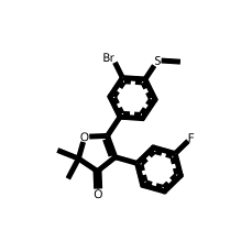 CSc1ccc(C2=C(c3cccc(F)c3)C(=O)C(C)(C)O2)cc1Br